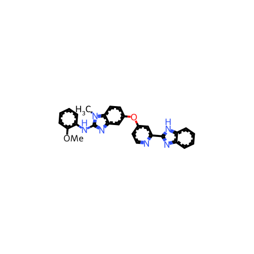 COc1ccccc1Nc1nc2cc(Oc3ccnc(-c4nc5ccccc5[nH]4)c3)ccc2n1C